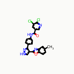 Cc1ccc2oc(-c3c[nH]nc3-c3ccc(NC(=O)c4cnc(Cl)c(Cl)c4)cc3)nc2c1